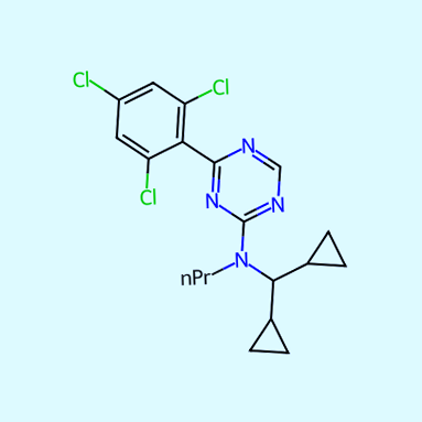 CCCN(c1ncnc(-c2c(Cl)cc(Cl)cc2Cl)n1)C(C1CC1)C1CC1